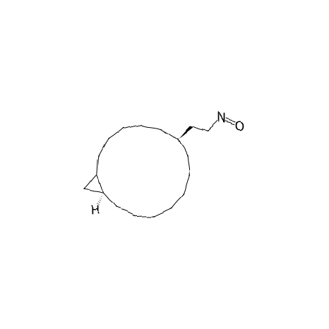 O=NCC[C@H]1CCCCCCC[C@H]2CC2CCCCC1